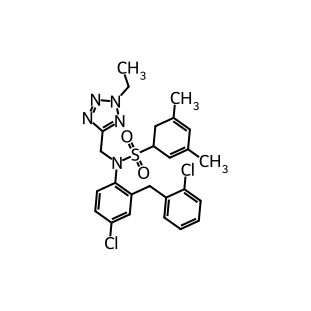 CCn1nnc(CN(c2ccc(Cl)cc2Cc2ccccc2Cl)S(=O)(=O)C2C=C(C)C=C(C)C2)n1